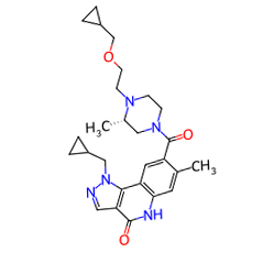 Cc1cc2[nH]c(=O)c3cnn(CC4CC4)c3c2cc1C(=O)N1CCN(CCOCC2CC2)[C@@H](C)C1